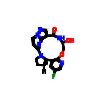 O=C1NC(O)COc2ncc(F)cc2[C@@]23C[C@@H]2CCN3c2ccn3ncc1c3n2